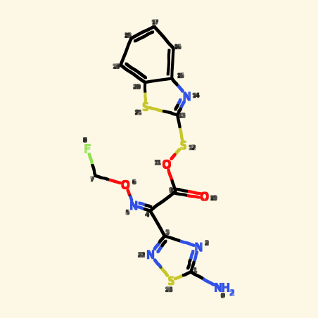 Nc1nc(C(=NOCF)C(=O)OSc2nc3ccccc3s2)ns1